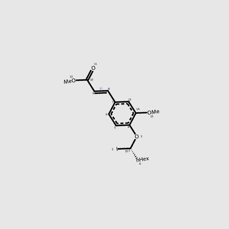 CCCCCC[C@H](I)Oc1ccc(/C=C/C(=O)OC)cc1OC